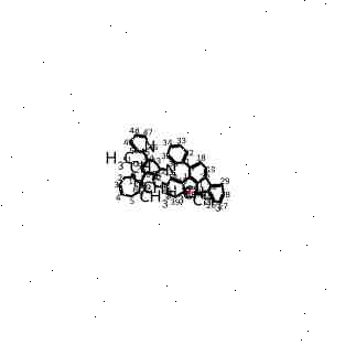 C=C1CC=CCC(C)[C@@]1(C)C1=CC(N2C3=C(c4c(ccc5c4C(C)(C)c4ccccc4-5)-c4ccccc42)C(C)CCC3C)CC(c2ncccc2C)=C1